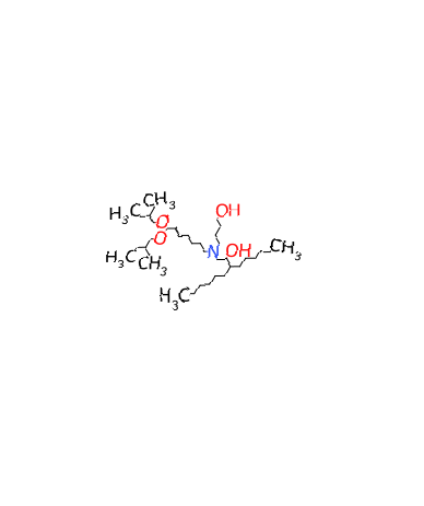 CCCCCCC(CCCCCC)[C@H](O)CN(CCCCO)CCCCCCC(OCC(CC)CC)OCC(CC)CC